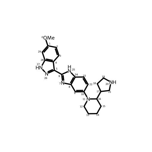 COc1ccc2c(-c3nc4cc(N5CCCCC5C5CCNC5)ccc4[nH]3)n[nH]c2c1